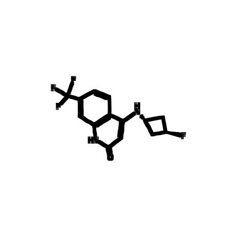 O=c1cc(N[C@H]2C[C@H](F)C2)c2ccc(C(F)(F)F)cc2[nH]1